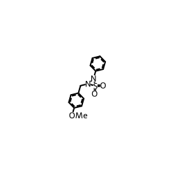 COc1ccc(CN2N(c3ccccc3)S2(=O)=O)cc1